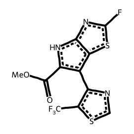 COC(=O)c1[nH]c2nc(F)sc2c1-c1ncsc1C(F)(F)F